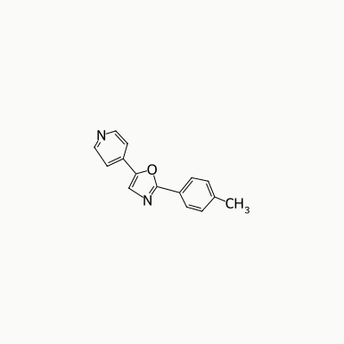 Cc1ccc(-c2ncc(-c3ccncc3)o2)cc1